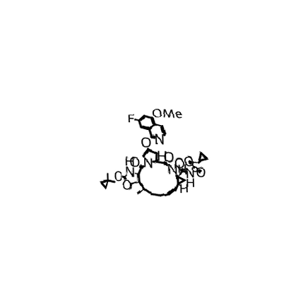 COc1cc(F)cc2c(O[C@@H]3C[C@H]4C(=O)N[C@]5(C(=O)NS(=O)(=O)C6CC6)C[C@H]5/C=C\CC[C@@H](C)[C@@H](C)[C@H](NC(=O)OCC5(C)CC5)C(=O)N4C3)nccc12